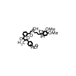 COc1ccc(C(C#N)(CCCN(C)CC(=O)c2cccc3c(=O)c(C)c(-c4ccccc4)oc23)C(C)C)cc1OC.Cl.O